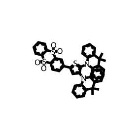 CC1(C)c2ccccc2N(c2cc(-c3ccc4c(c3)S(=O)(=O)c3ccccc3S4(=O)=O)sc2N2c3ccccc3C(C)(C)c3ccccc32)c2ccccc21